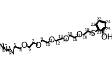 [N-]=[N+]=NCCOCCOCCOCCOCCOCCSc1ccccc1O